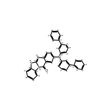 O=c1c2cc(N(c3cccc(-c4ccccc4)c3)c3cccc(-c4ccccc4)c3)ccc2nc2sc3ccccc3n12